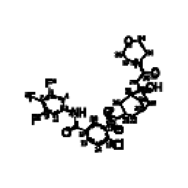 O=C(Nc1cc(F)c(F)c(F)c1)c1ccc(Cl)c(S(=O)(=O)C2CC3CC(C2)[C@@](O)(CC(=O)N2CCOCC2)C3)c1